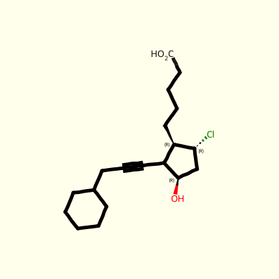 O=C(O)CCCC[C@@H]1C(C#CCC2CCCCC2)[C@H](O)C[C@H]1Cl